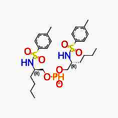 CCCC[C@H](CO[PH](=O)OC[C@@H](CCCC)NS(=O)(=O)c1ccc(C)cc1)NS(=O)(=O)c1ccc(C)cc1